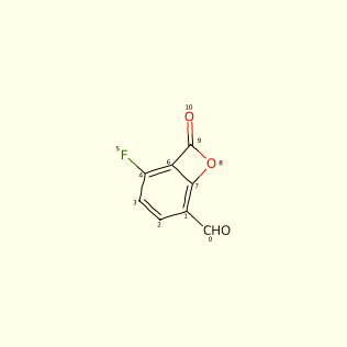 O=Cc1ccc(F)c2c1OC2=O